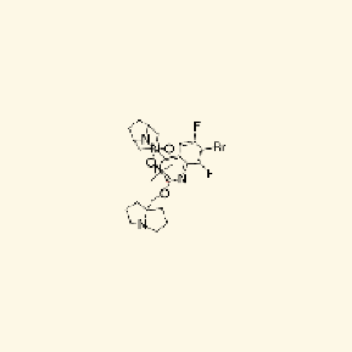 CC(C)(C)OC(=O)N1C2CCC1CN(c1nc(OCC34CCCN3CCC4)nc3c(F)c(Br)c(F)cc13)C2